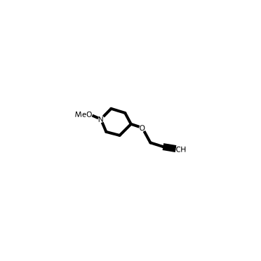 C#CCOC1CCN(OC)CC1